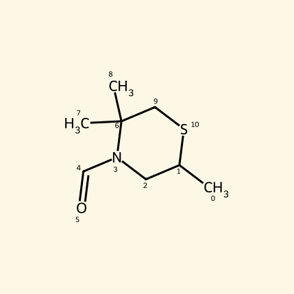 CC1CN(C=O)C(C)(C)CS1